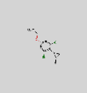 COCOc1cc(Cl)c(C2C[C@H]2C)c(Br)c1